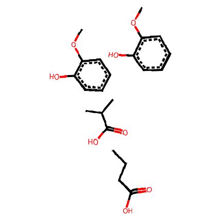 CC(C)C(=O)O.CCCC(=O)O.COc1ccccc1O.COc1ccccc1O